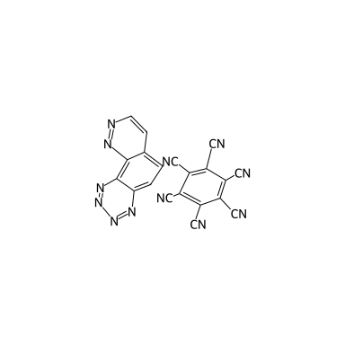 N#Cc1c(C#N)c(C#N)c(C#N)c(C#N)c1C#N.c1cc2ccc3nnnnc3c2nn1